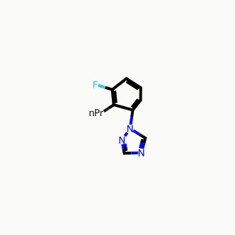 CCCc1c(F)cccc1-n1cncn1